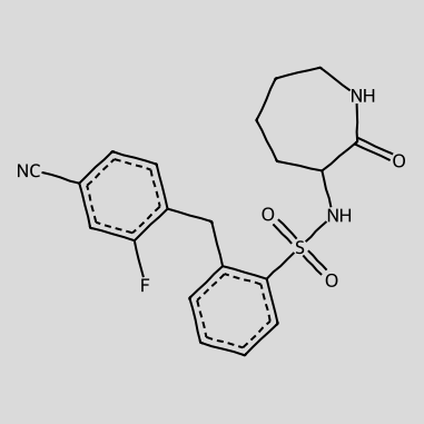 N#Cc1ccc(Cc2ccccc2S(=O)(=O)NC2CCCCNC2=O)c(F)c1